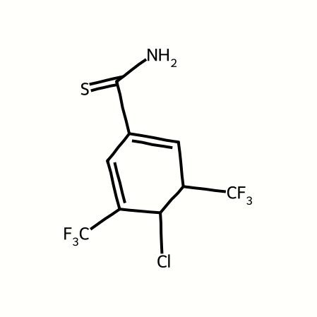 NC(=S)C1=CC(C(F)(F)F)C(Cl)C(C(F)(F)F)=C1